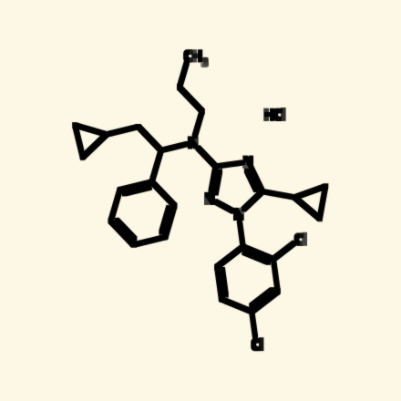 CCCN(c1nc(C2CC2)n(-c2ccc(Cl)cc2Cl)n1)C(CC1CC1)c1ccccc1.Cl